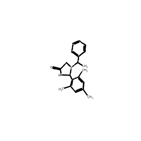 Cc1cc(C)c(C2NC(=O)CN2C(C)c2ccccc2)c(C)c1